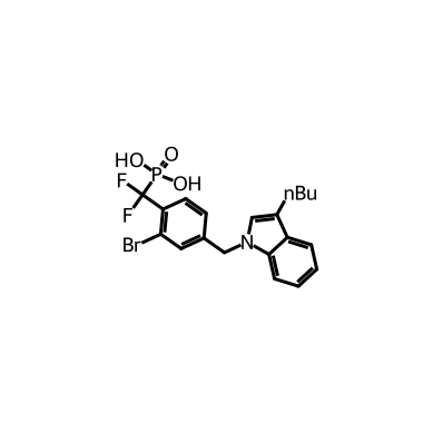 CCCCc1cn(Cc2ccc(C(F)(F)P(=O)(O)O)c(Br)c2)c2ccccc12